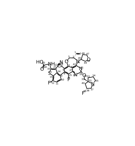 C=C[C@H]1COc2c(Cl)c(-c3ccc(F)c4sc(NC(=O)O)c(C#N)c34)c(F)c3nc(OC[C@@]45CCCN4C[C@H](F)C5)nc(c23)N1C1CCOC1